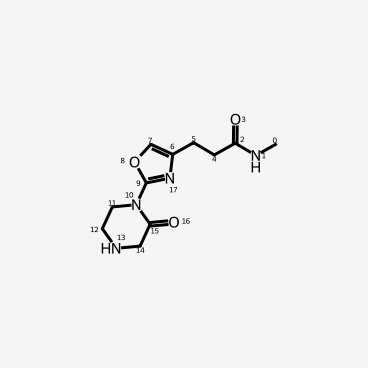 CNC(=O)CCc1coc(N2CCNCC2=O)n1